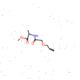 C=CCOCC(=O)NC(C)C(=O)OC